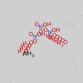 O.O.O.O.O.O.O.O.O.O=[N+]([O-])O.O=[N+]([O-])O.O=[N+]([O-])O.[AlH3]